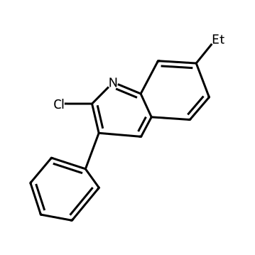 CCc1ccc2cc(-c3ccccc3)c(Cl)nc2c1